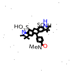 CNC(=O)c1ccc(C2=c3cc4c(c(S(=O)(=O)O)c3Cc3c2cc2c(c3S(=O)(=O)O)NC(C)C2(C)C)=NC(C)C4(C)C)cc1